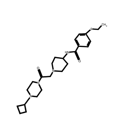 CCSc1ccc(C(=O)NC2CCN(CC(=O)N3CCN(C4CCC4)CC3)CC2)cc1